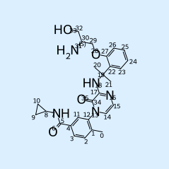 Cc1ccc(C(=O)NC2CC2)cc1-n1ccnc(NC(C)(C)c2ccccc2OC[C@@H](N)CO)c1=O